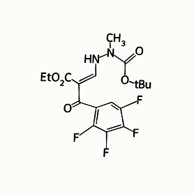 CCOC(=O)C(=CNN(C)C(=O)OC(C)(C)C)C(=O)c1cc(F)c(F)c(F)c1F